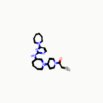 CC(C)(C)CC(=O)N1CCC(N2CCCCC(Nc3nccc(N4CCCCCC4)n3)C2)CC1